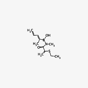 C=C/C=C(\C)B(O)N(C)C(=O)C(=C)SCC